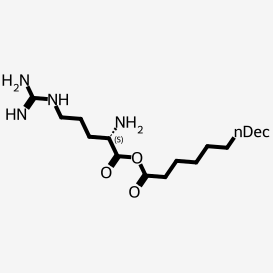 CCCCCCCCCCCCCCCC(=O)OC(=O)[C@@H](N)CCCNC(=N)N